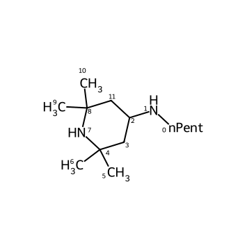 CCCCCNC1CC(C)(C)NC(C)(C)C1